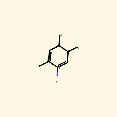 CC1=CC(C)C(C)C=C1I